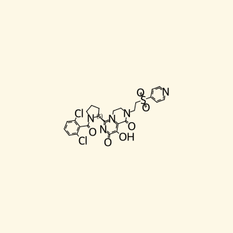 O=C1c2c(O)c(=O)nc([C@@H]3CCCN3C(=O)c3c(Cl)cccc3Cl)n2CCN1CCS(=O)(=O)c1ccncc1